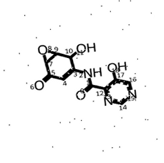 O=C(NC1=CC(=O)C2OC2C1O)c1ncncc1O